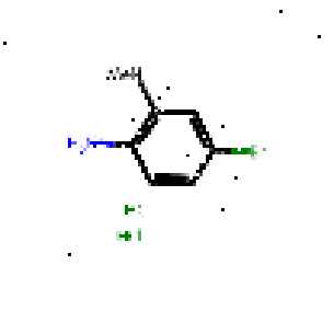 CNc1cc(Br)ccc1N.Cl.Cl